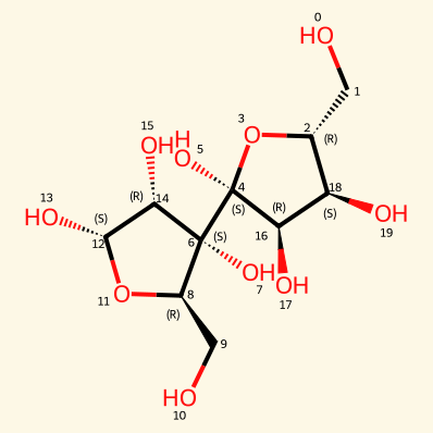 OC[C@H]1O[C@](O)([C@@]2(O)[C@@H](CO)O[C@H](O)[C@@H]2O)[C@H](O)[C@@H]1O